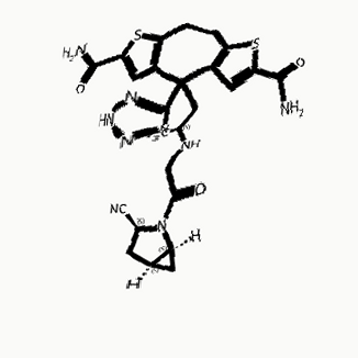 C[C@@H](CC1(c2nn[nH]n2)c2cc(C(N)=O)sc2CCc2sc(C(N)=O)cc21)NCC(=O)N1[C@H](C#N)C[C@@H]2C[C@@H]21